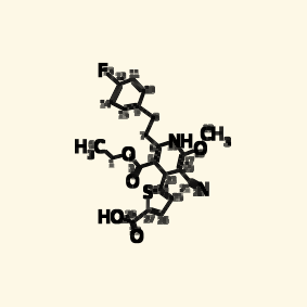 CCOC(=O)C1=C(CCc2ccc(F)cc2)NC(OC)=C(C#N)C1c1ccc(C(=O)O)s1